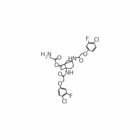 NCC(=O)O[C@@]12CC3(NC(=O)COc4ccc(Cl)c(F)c4)CCC1(NC(=O)COc1ccc(Cl)c(F)c1)CC32